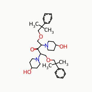 CC(C)(COCC(C(=O)C(COCC(C)(C)c1ccccc1)N1CCC(O)CC1)N1CCC(O)CC1)c1ccccc1